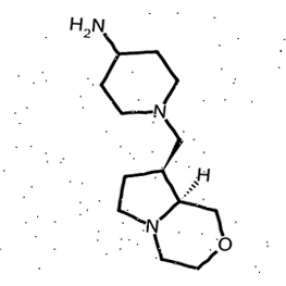 NC1CCN(C[C@@H]2CCN3CCOC[C@H]23)CC1